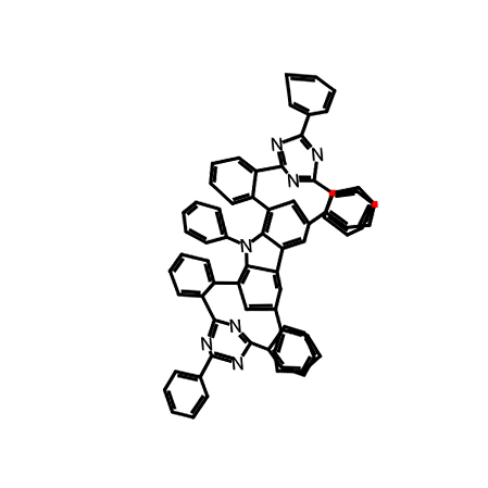 c1ccc(-c2cc(-c3ccccc3-c3nc(-c4ccccc4)nc(-c4ccccc4)n3)c3c(c2)c2cc(-c4ccccc4)cc(-c4ccccc4-c4nc(-c5ccccc5)nc(-c5ccccc5)n4)c2n3-c2ccccc2)cc1